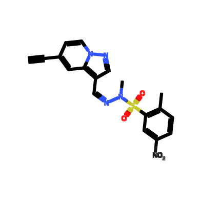 C#Cc1ccn2ncc(/C=N\N(C)S(=O)(=O)c3cc([N+](=O)[O-])ccc3C)c2c1